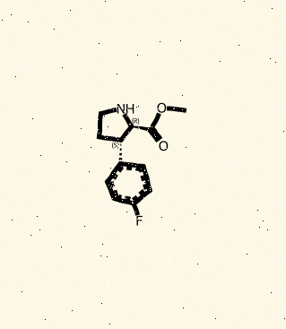 COC(=O)[C@@H]1NCC[C@H]1c1ccc(F)cc1